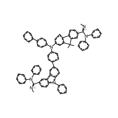 C/N=C(\c1ccc2c(c1)C(C)(C)c1cc(N(c3ccc(-c4ccccc4)cc3)c3ccc(-c4ccc5c(c4)c4cc(/C(=N\C)N(c6ccccc6)c6ccccc6)ccc4n5-c4ccccc4)cc3)ccc1-2)N(c1ccccc1)c1ccccc1